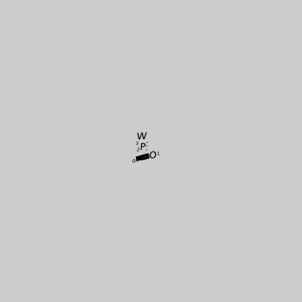 [C]=O.[P].[W]